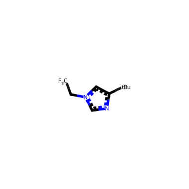 CC(C)(C)c1cn(CC(F)(F)F)cn1